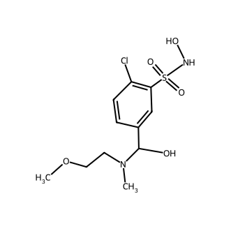 COCCN(C)C(O)c1ccc(Cl)c(S(=O)(=O)NO)c1